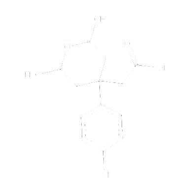 CC1CC(CC(=O)O)(c2ccc(Cl)cc2)CC(C)O1